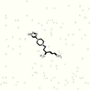 C=CC=CC(=C)CCN1CCN(c2c[nH]nn2)CC1